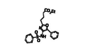 CCOC(=O)CCCc1nc(NS(=O)(=O)c2ccccc2)c(-c2ccccc2)o1